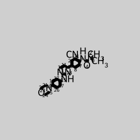 CN(C)C(=O)Nc1ccc(-c2ccnc(Nc3ccc(N4CCOCC4)cc3)n2)cc1C#N